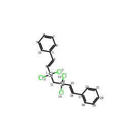 Cl[Si](Cl)(/C=C/c1ccccc1)C[Si](Cl)(Cl)/C=C/c1ccccc1